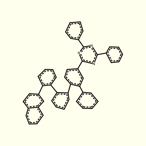 c1ccc(-c2nc(-c3ccccc3)nc(-c3ccc(-c4ccccc4-c4ccccc4-c4ccc5ccccc5c4)c(-c4ccccc4)c3)n2)cc1